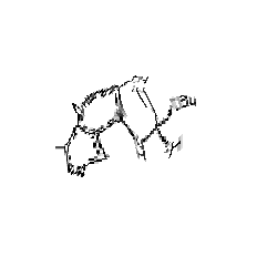 [2H]C([2H])(Nc1c(C#N)cnc2ccccc12)C(C)(C)C